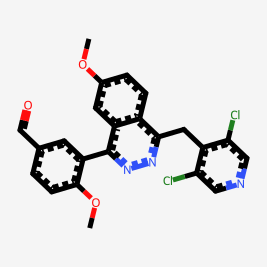 COc1ccc2c(Cc3c(Cl)cncc3Cl)nnc(-c3cc(C=O)ccc3OC)c2c1